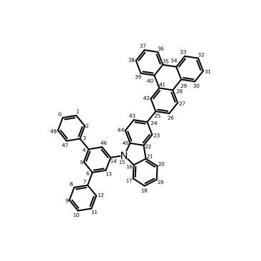 c1ccc(-c2cc(-c3ccccc3)cc(-n3c4ccccc4c4cc(-c5ccc6c7ccccc7c7ccccc7c6c5)ccc43)c2)cc1